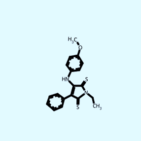 CCN1C(=S)C(Nc2ccc(OC)cc2)=C(c2ccccc2)C1=S